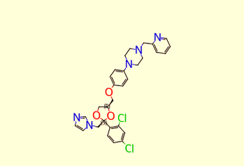 Clc1ccc([C@]2(Cn3ccnc3)OC[C@@H](COc3ccc(N4CCN(Cc5ccccn5)CC4)cc3)O2)c(Cl)c1